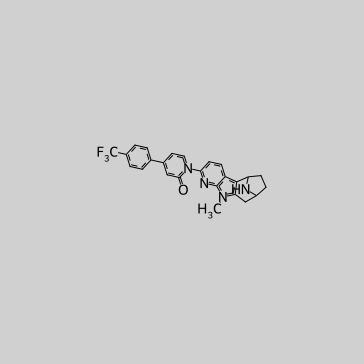 Cn1c2c(c3ccc(-n4ccc(-c5ccc(C(F)(F)F)cc5)cc4=O)nc31)C1CCC(C2)N1